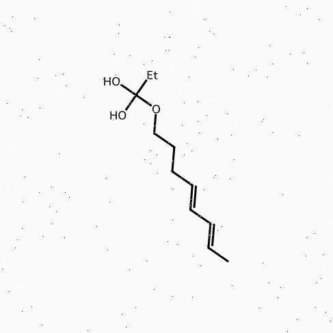 CC=CC=CCCCOC(O)(O)CC